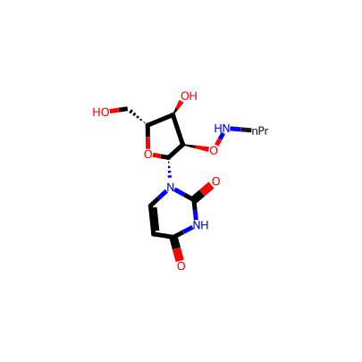 CCCNO[C@@H]1[C@H](O)[C@@H](CO)O[C@H]1n1ccc(=O)[nH]c1=O